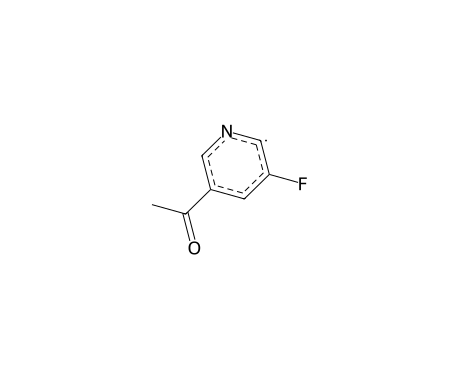 CC(=O)c1cn[c]c(F)c1